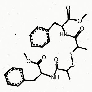 COC(=O)[C@H](Cc1ccccc1)NC(=O)C(C)SSC(C)C(=O)N[C@@H](Cc1ccccc1)C(=O)OC